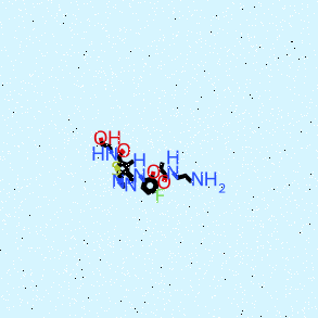 Cc1c(C(=O)NCCO)sc2ncnc(Nc3ccc(F)cc3OC(C)C(=O)NCCCN)c12